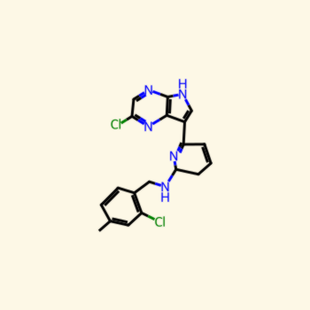 Cc1ccc(CNC2CC=CC(c3c[nH]c4ncc(Cl)nc34)=N2)c(Cl)c1